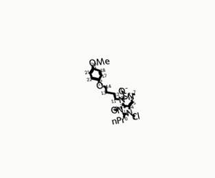 CCCC1N(Cl)C2=CN(C)[S+]([O-])N(CCCCOc3ccc(OC)cc3)C2=[N+]1[O-]